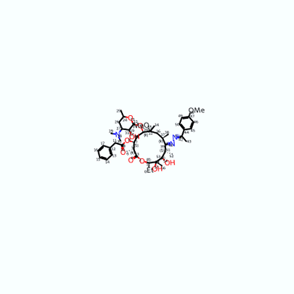 CC[C@H]1OC(=O)[C@H](C)[C@@H](OC(=O)Cc2ccccc2)[C@H](C)[C@@H](OC2OC(C)CC(N(C)C)C2O)[C@](C)(OC)C[C@@H](C)/C(=N\N=C(/C)c2ccc(OC)cc2)[C@H](C)[C@@H](O)[C@]1(C)O